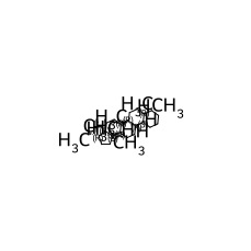 CC(C)[C@H]1CC[C@]2(C)[C@H]3CC[C@@H]4[C@H]5CCCC(C)(C)[C@@H]5CC[C@@]4(C)[C@]3(C)CC[C@@H]12